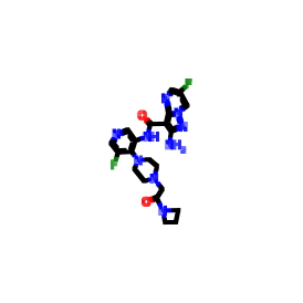 Nc1nn2cc(F)cnc2c1C(=O)Nc1cncc(F)c1N1CCN(CC(=O)N2CCC2)CC1